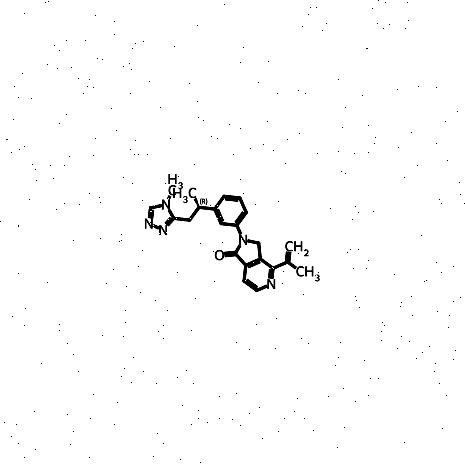 C=C(C)c1nccc2c1CN(c1cccc([C@H](C)Cc3nncn3C)c1)C2=O